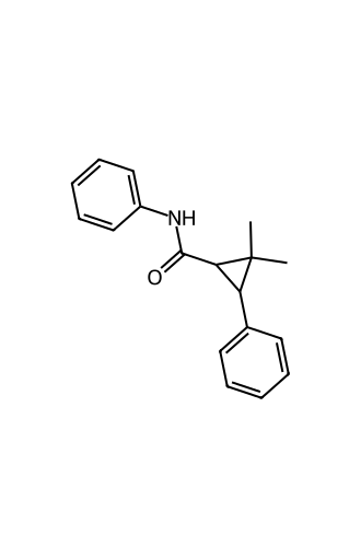 CC1(C)C(C(=O)Nc2ccccc2)C1c1ccccc1